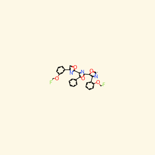 FCOc1cccc(-c2coc(-c3nc(-c4o[c]nc4-c4ccccc4OCF)oc3-c3ccccc3)n2)c1